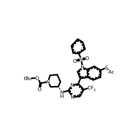 CC(=O)Sc1ccc2c(-c3nc(N[C@H]4CCCN(C(=O)OC(C)(C)C)C4)ncc3C(F)(F)F)cn(S(=O)(=O)c3ccccc3)c2c1